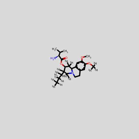 [2H]C([2H])([2H])Oc1cc2c(cc1OC)C1N(CC2)C([2H])([2H])C([2H])(C([2H])([2H])C([2H])(C)C([2H])([2H])[2H])C(OC(=O)[C@@H](N)C(C)C)C1([2H])[2H]